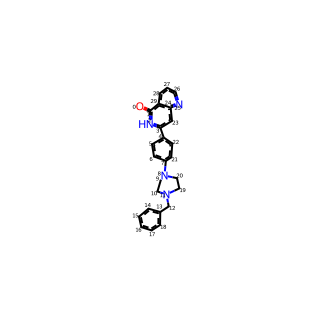 O=c1[nH]c(-c2ccc(N3CCN(Cc4ccccc4)CC3)cc2)cc2ncccc12